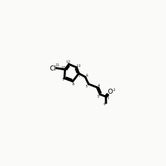 CC(=O)C=CCCc1ccc(Cl)cc1